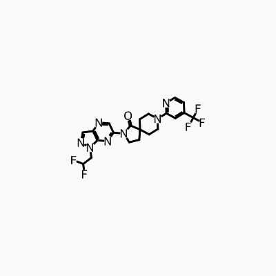 O=C1N(c2cnc3cnn(CC(F)F)c3n2)CCC12CCN(c1cc(C(F)(F)F)ccn1)CC2